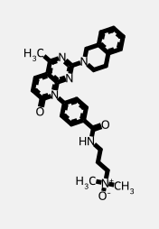 Cc1nc(N2CCc3ccccc3C2)nc2c1ccc(=O)n2-c1ccc(C(=O)NCCC[N+](C)(C)[O-])cc1